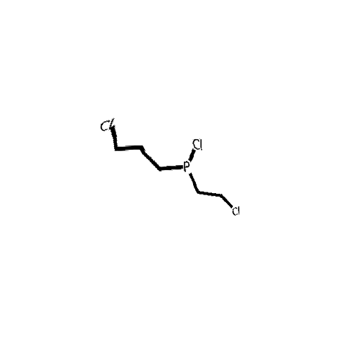 ClCCCP(Cl)CCCl